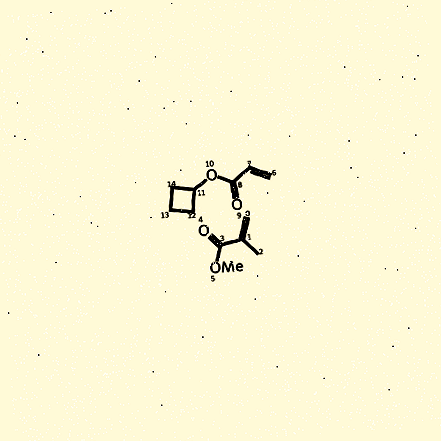 C=C(C)C(=O)OC.C=CC(=O)OC1CCC1